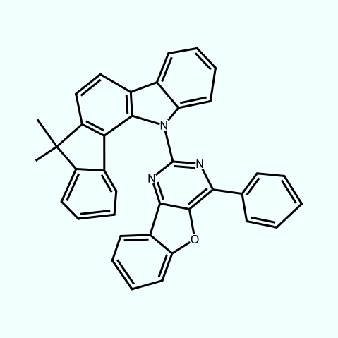 CC1(C)c2ccccc2-c2c1ccc1c3ccccc3n(-c3nc(-c4ccccc4)c4oc5ccccc5c4n3)c21